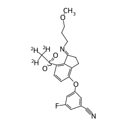 [2H]C([2H])([2H])S(=O)(=O)c1ccc(Oc2cc(F)cc(C#N)c2)c2c1C(=NCCCOC)CC2